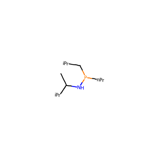 CCCP(CC(C)C)NC(C)C(C)C